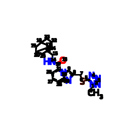 Cn1nnnc1SCc1cn2c(C(=O)NCC34CC5CC(CC(C5)C3)C4)cccc2n1